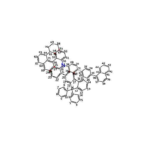 c1ccc(C2(c3ccccc3)c3ccccc3-c3ccc(-c4ccccc4N(c4ccc(-c5ccc(-c6cccc7ccccc67)cc5)cc4)c4ccccc4-c4cccc5cccc(C6CCCCC6)c45)cc32)cc1